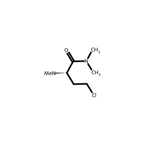 CN[C@@H](CCCl)C(=O)N(C)C